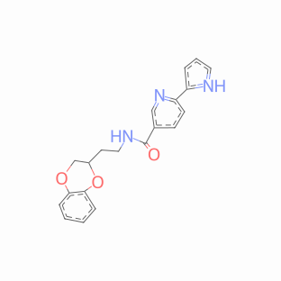 O=C(NCCC1COc2ccccc2O1)c1ccc(-c2ccc[nH]2)nc1